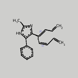 C=C/C=C\C(=C/C=C)c1nc(C)[nH]c1-c1ccccc1